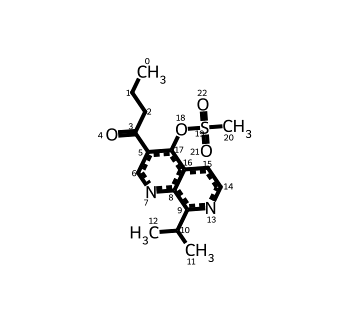 CCCC(=O)c1cnc2c(C(C)C)nccc2c1OS(C)(=O)=O